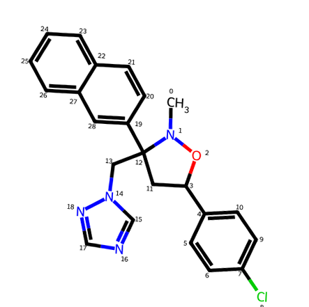 CN1OC(c2ccc(Cl)cc2)CC1(Cn1cncn1)c1ccc2ccccc2c1